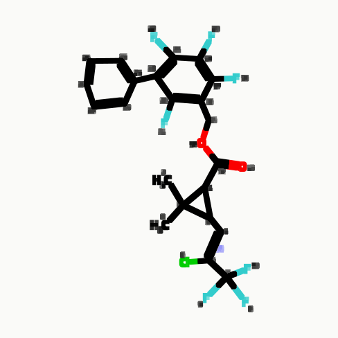 CC1(C)C(/C=C(\Cl)C(F)(F)F)C1C(=O)OCc1c(F)c(F)c(F)c(-c2ccccc2)c1F